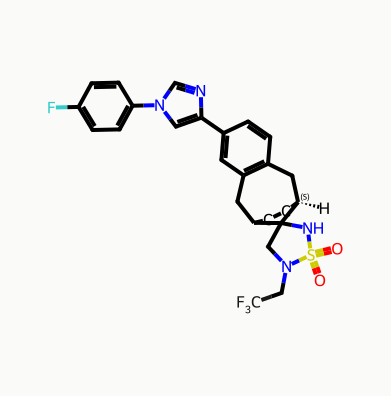 O=S1(=O)NC2(CN1CC(F)(F)F)C1CC[C@H]2Cc2ccc(-c3cn(-c4ccc(F)cc4)cn3)cc2C1